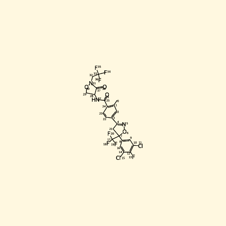 Cc1cc(C2=NOC(c3cc(Cl)c(F)c(Cl)c3)(C(F)(F)F)C2)ccc1C(=O)NC1CON(CC(F)(F)F)C1=O